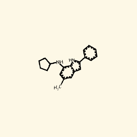 Cc1cc(NC2CCCC2)c2[nH]c(-c3ccccc3)cc2c1